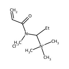 C=CC(=O)N(C)C(CC)[N+](C)(C)C.[Cl-]